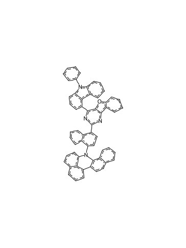 c1ccc(-n2c3ccccc3c3c(-c4nc(-c5ccc(N6c7c(ccc8ccccc78)-c7cccc8cccc6c78)c6ccccc56)nc5c4oc4ccccc45)cccc32)cc1